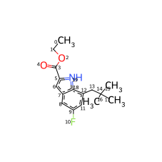 CCOC(=O)c1cc2cc(F)cc(CC(C)(C)C)c2[nH]1